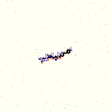 CC/N=C(/CCNC(=O)c1cc(NC(=O)c2cc(NC(=O)c3ccc(/C=C/c4ccc(N(C)C)cc4)nc3)cn2C)cn1C)NCC